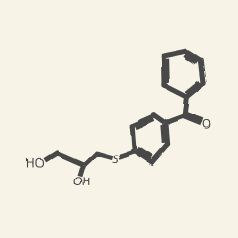 O=C(c1ccccc1)c1ccc(SCC(O)CO)cc1